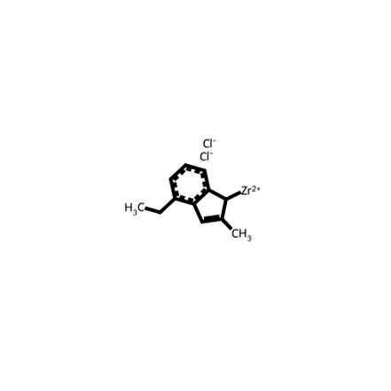 CCc1cccc2c1C=C(C)[CH]2[Zr+2].[Cl-].[Cl-]